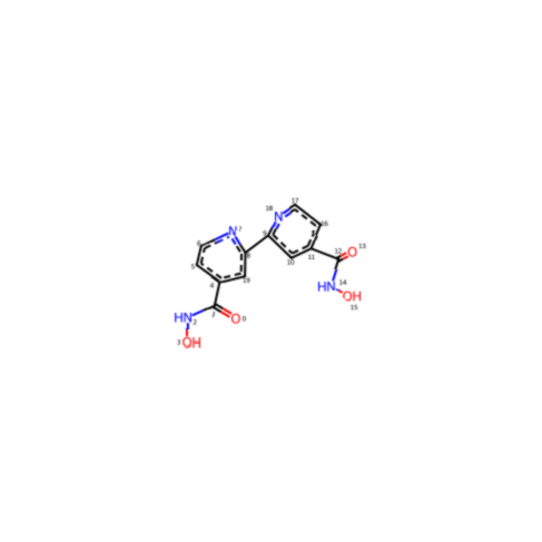 O=C(NO)c1ccnc(-c2cc(C(=O)NO)ccn2)c1